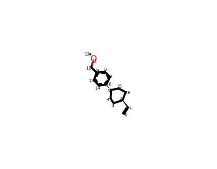 C=C[C@H]1CC[C@H](c2ccc(COC)cc2)CC1